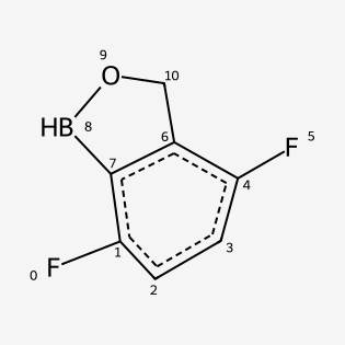 Fc1ccc(F)c2c1BOC2